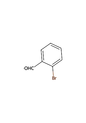 O=[C]c1ccccc1Br